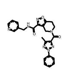 Cc1nn(-c2ccccc2)nc1C(=O)N1CCc2onc(C(=O)NCc3cccnc3)c2C1